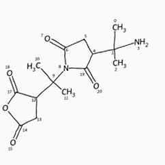 CC(C)(N)C1CC(=O)N(C(C)(C)C2CC(=O)OC2=O)C1=O